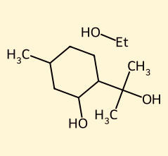 CC1CCC(C(C)(C)O)C(O)C1.CCO